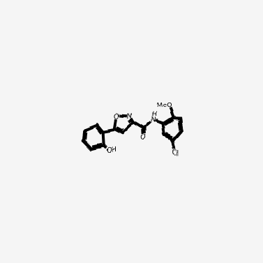 COc1ccc(Cl)cc1NC(=O)c1cc(-c2ccccc2O)on1